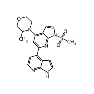 CC1COCCN1c1cc(-c2ccnc3[nH]ccc23)nc2c1ccn2S(C)(=O)=O